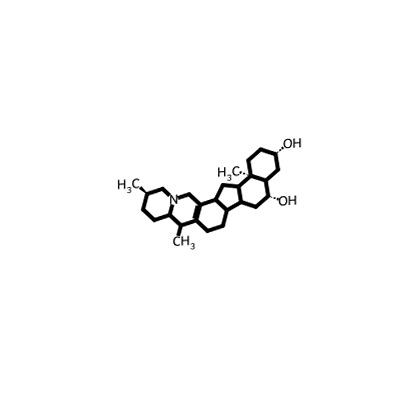 CC1C2=C(CN3C[C@H](C)CCC13)C1CC3C(C[C@@H](O)C4C[C@@H](O)CC[C@]34C)C1CC2